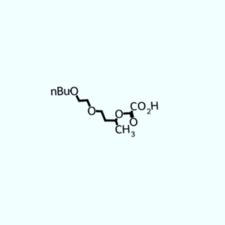 CCCCOCCOCCC(C)OC(=O)C(=O)O